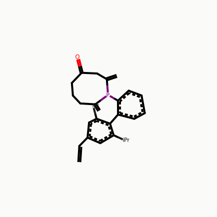 C=Cc1cc(C(C)C)c(-c2ccccc2P2C(=C)CCCC(=O)CC2=C)c(C(C)C)c1